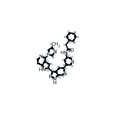 Cc1cn(-c2nccc3[nH]c(-c4n[nH]c5cnc(-c6cncc(NC(=O)Cc7ccccc7)c6)cc45)cc23)cn1